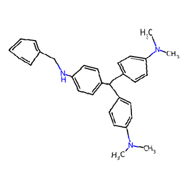 CN(C)c1ccc(C(c2ccc(NCc3ccccc3)cc2)c2ccc(N(C)C)cc2)cc1